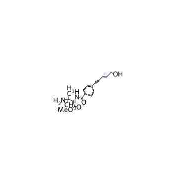 COC(=O)[C@@H](NC(=O)c1ccc(C#C/C=C/CO)cc1)C(C)(C)N